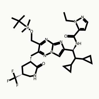 CCn1nccc1C(=O)N[C@H](c1cn2nc(C[C@H]3C[C@@H](C(F)(F)F)CNC3=O)c(CO[Si](C)(C)C(C)(C)C)nc2n1)C(C1CC1)C1CC1